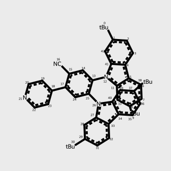 CC(C)(C)c1ccc2c3ccc(C(C)(C)C)cc3n(-c3cc(C#N)c(-c4ccncc4)cc3-n3c4cc(C(C)(C)C)ccc4c4ccc(C(C)(C)C)cc43)c2c1